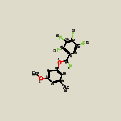 CCOc1cc(OC(F)c2cc(F)c(F)c(F)c2F)cc(C(C)=O)c1